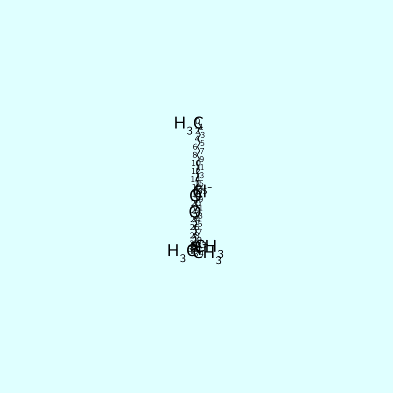 CCCCCCCCCCCCCCCCCCOCCCOCCCCCCCC[N+](C)(C)C.[Cl-]